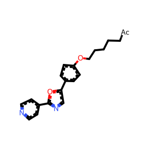 CC(=O)CCCCCOc1ccc(-c2cnc(-c3ccncc3)o2)cc1